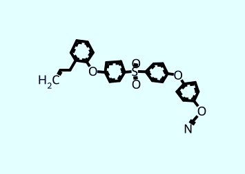 C=CCc1ccccc1Oc1ccc(S(=O)(=O)c2ccc(Oc3ccc(OC#N)cc3)cc2)cc1